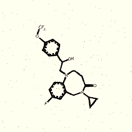 O=C1CCN(CC(O)c2ccc(OC(F)(F)F)cc2)c2ccc(F)cc2CN1C1CC1